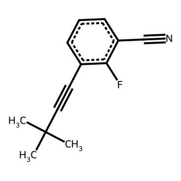 CC(C)(C)C#Cc1cccc(C#N)c1F